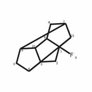 FC12CC3C4CC5C(CC1C35)C42